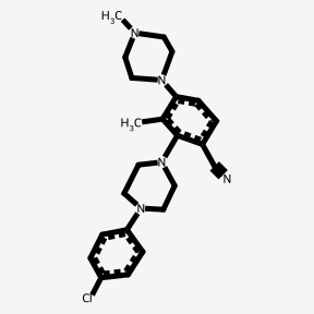 Cc1c(N2CCN(C)CC2)ccc(C#N)c1N1CCN(c2ccc(Cl)cc2)CC1